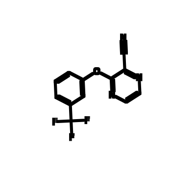 N#Cc1nccnc1Oc1cccc(C(F)(F)F)c1